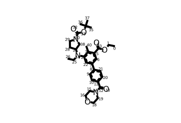 CCOC(=O)c1cc(-c2ccc(C(=O)N3CCOCC3)cc2)cc(N(CC)C2CCN(C(=O)OC(C)(C)C)C2)c1C